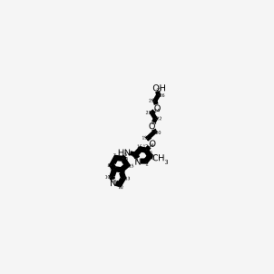 Cc1cnc(Nc2ccc3cnccc3c2)cc1OCCOCCOCCO